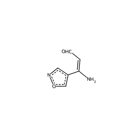 N/C(=C/C=O)c1cnoc1